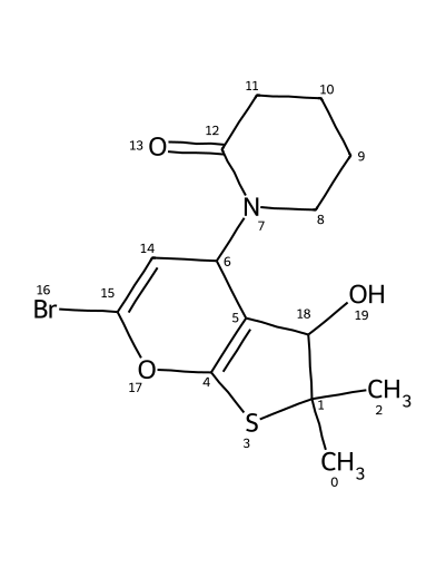 CC1(C)SC2=C(C(N3CCCCC3=O)C=C(Br)O2)C1O